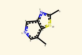 Cc1nc2cncc(C)c2s1